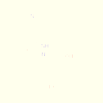 O=C(NN=CCc1c(O)cccc1O)c1ccncc1